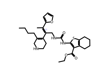 CCCCC1=C(/C(CNC(=O)Nc2sc3c(c2C(=O)OCC)CCCC3)=C(\C)c2ccco2)CCNC1